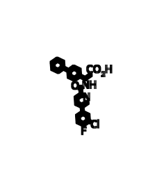 O=C(O)CC(NC(=O)c1ccc(-c2ccc(F)c(Cl)c2)cn1)c1ccc(-c2ccccc2)cc1